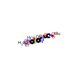 CCN(C)S(=O)(=O)Nc1ccc(F)c(Oc2ccc3ncn(C4COC5(CCN(C(=O)OC(C)(C)C)CC5)C4)c(=O)c3c2OC)c1C#N